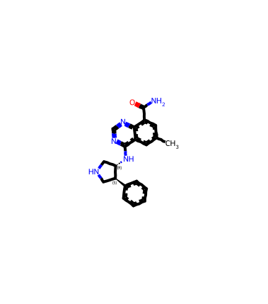 Cc1cc(C(N)=O)c2ncnc(N[C@H]3CNC[C@@H]3c3ccccc3)c2c1